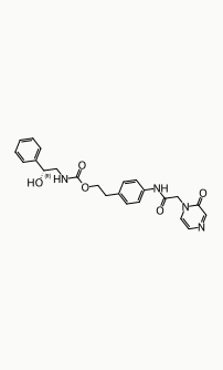 O=C(Cn1ccncc1=O)Nc1ccc(CCOC(=O)NC[C@H](O)c2ccccc2)cc1